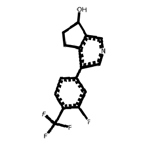 OC1CCc2c(-c3ccc(C(F)(F)F)c(F)c3)cncc21